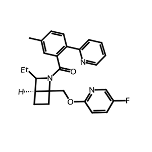 CCC1[C@@H]2CCC2(COc2ccc(F)cn2)N1C(=O)c1cc(C)ccc1-c1ccccn1